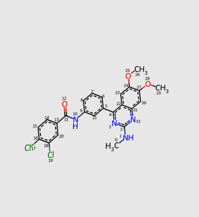 CNc1nc(-c2cccc(NC(=O)c3ccc(Cl)c(Cl)c3)c2)c2cc(OC)c(OC)cc2n1